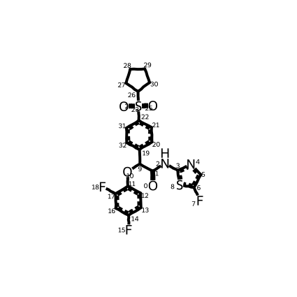 O=C(Nc1ncc(F)s1)C(Oc1ccc(F)cc1F)c1ccc(S(=O)(=O)C2CCCC2)cc1